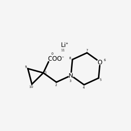 O=C([O-])C1(CN2CCOCC2)CC1.[Li+]